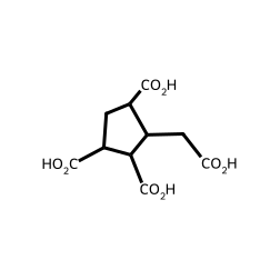 O=C(O)CC1C(C(=O)O)CC(C(=O)O)C1C(=O)O